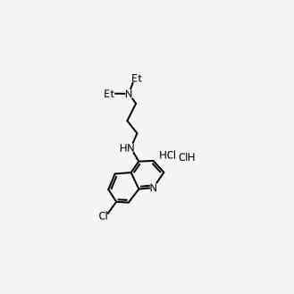 CCN(CC)CCCNc1ccnc2cc(Cl)ccc12.Cl.Cl